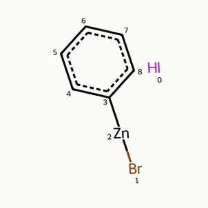 I.[Br][Zn][c]1ccccc1